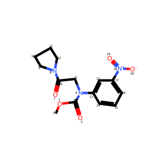 COC(=O)N(CC(=O)N1CCCC1)c1cccc([N+](=O)[O-])c1